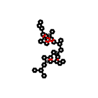 c1ccc(-c2cc(-c3ccccc3)cc(-c3ccc(N(c4ccc(-c5ccc6c(ccc7ccccc76)c5)cc4)c4ccccc4-c4cccc(-c5cccc6c5c5ccccc5n6-c5cccc(-c6cc(-c7ccc(-c8ccc(N(c9ccc(-c%10ccc%11c(ccc%12ccccc%12%11)c%10)cc9)c9ccccc9-c9cccc(-c%10cccc%11c%10c%10ccccc%10n%11-c%10ccccc%10)c9)cc8)cc7)c7ccccc7c6)c5)c4)cc3)c2)cc1